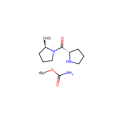 CC(C)(C)OC(N)=O.O=C[C@@H]1CCCN1C(=O)[C@@H]1CCCN1